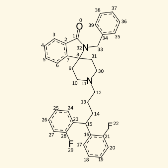 O=C1c2ccccc2C2(CCN(CCCC(c3ccccc3F)c3ccccc3F)CC2)N1Cc1ccccc1